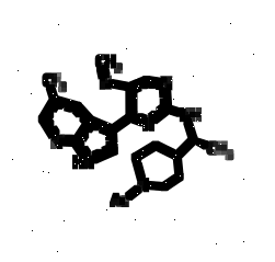 C=Nc1cnc(N[C@@H](C)C2CCN(C(C)=O)CC2)nc1-c1c[nH]c2ncc(C(F)(F)F)cc12